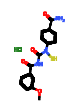 COc1cccc(C(=O)NC(=O)N(S)c2ccc(C(N)=O)cc2)c1.Cl